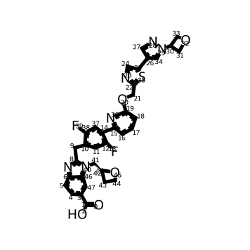 O=C(O)c1ccc2nc(Cc3cc(F)c(-c4cccc(OCc5ncc(-c6cnn(C7COC7)c6)s5)n4)cc3F)n(C[C@@H]3CCO3)c2c1